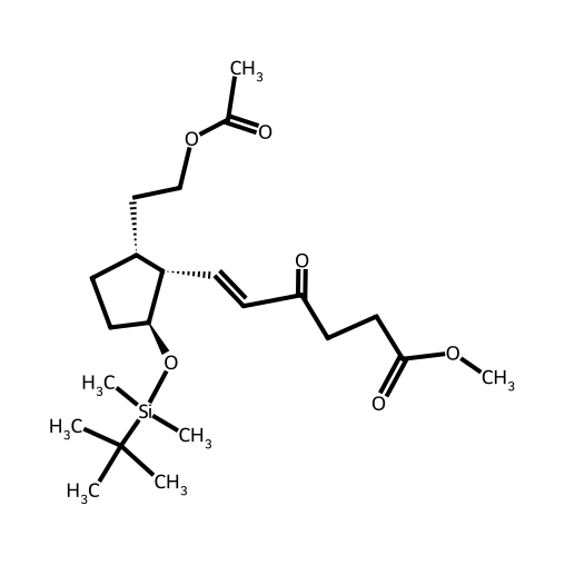 COC(=O)CCC(=O)/C=C/[C@H]1[C@@H](CCOC(C)=O)CC[C@@H]1O[Si](C)(C)C(C)(C)C